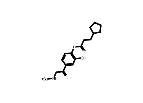 CC(C)(C)NCC(=O)c1ccc(OC(=O)CCC2CCCC2)c(O)c1